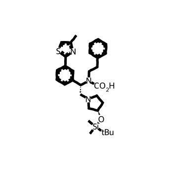 Cc1csc(-c2cccc([C@@H](CN3CC[C@H](O[Si](C)(C)C(C)(C)C)C3)N(CCc3ccccc3)C(=O)O)c2)n1